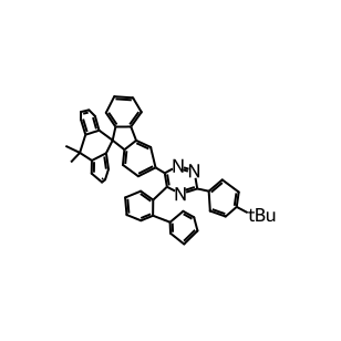 CC(C)(C)c1ccc(-c2nnc(-c3ccc4c(c3)-c3ccccc3C43c4ccccc4C(C)(C)c4ccccc43)c(-c3ccccc3-c3ccccc3)n2)cc1